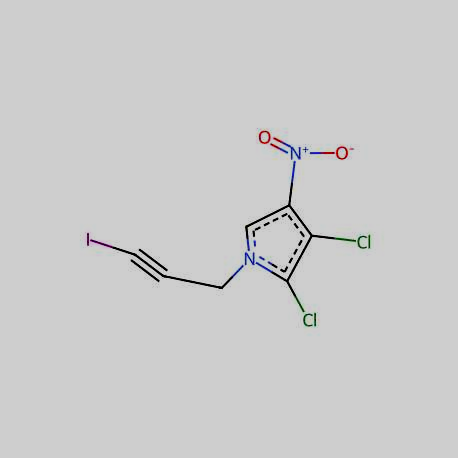 O=[N+]([O-])c1cn(CC#CI)c(Cl)c1Cl